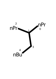 C[CH]CC(CCC)CCCCC